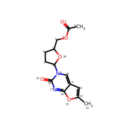 CC(=O)OCC1CCC(n2cc3cc(C)oc3nc2=O)O1